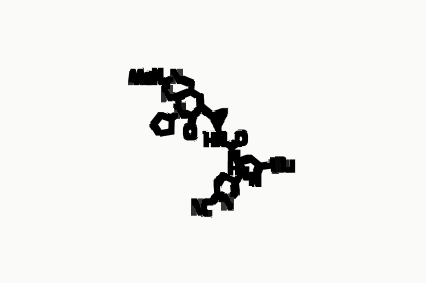 CNc1ncc2cc(C3CC3NC(=O)Nc3cc(C(C)(C)C)nn3-c3ccc(C#N)nc3)c(=O)n(C3CCCC3)c2n1